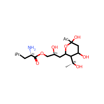 CC(=O)C1(O)CC(O)C([C@@H](C)O)C(C[C@H](O)COC(=O)[C@@H](N)CC(C)C)O1